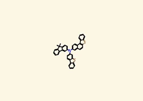 CC1(C)c2ccccc2-c2cc(N(c3ccc4c(ccc5sc6ccccc6c54)c3)c3ccc4c(c3)sc3ccccc34)ccc21